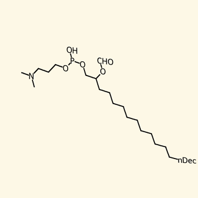 CCCCCCCCCCCCCCCCCCCCCC(COP(O)OCCCN(C)C)OC=O